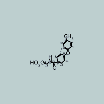 Cc1ccc(Oc2ccc(C(=O)NCC(=O)O)cc2)cc1